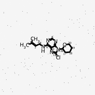 CC(C)=CCNc1ncnc2c1nc(Cl)n2C1CCCCO1